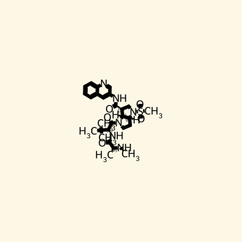 CN[C@@H](C)C(=O)N[C@H](C(=O)N1CC[C@@H]2[C@H]1[C@@H](C(=O)Nc1cnc3ccccc3c1)CN2S(C)(=O)=O)C(C)(C)C